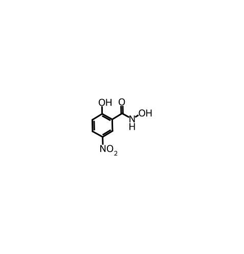 O=C(NO)c1cc([N+](=O)[O-])ccc1O